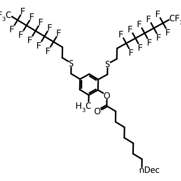 CCCCCCCCCCCCCCCCCC(=O)Oc1c(C)cc(CSCCC(F)(F)C(F)(F)C(F)(F)C(F)(F)C(F)(F)C(F)(F)F)cc1CSCCC(F)(F)C(F)(F)C(F)(F)C(F)(F)C(F)(F)C(F)(F)F